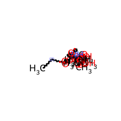 CCCCCCCC/C=C\CCCCCCC[C@@H]1OC[C@H](COCO[C@@H](C(=O)O[C@H]2C[C@@]3(O)[C@@H](O)C4[C@](C)(C(=O)[C@H](OC(C)=O)C(=C2C)C3(C)C)[C@@H](O)C[C@H]2OC[C@@]42OC(C)=O)[C@@H](NC(=O)c2ccccc2)c2ccccc2)O1